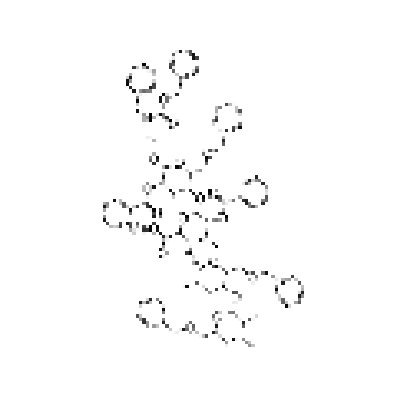 COC(=O)C1O[C@@H](O[C@@H]2C(COCc3ccccc3)O[C@@H](OCCN(Cc3ccccc3)C(=O)OCc3ccccc3)C(OC(=O)c3ccccc3)[C@H]2C)C(OC(=O)c2ccccc2)[C@@H](C)[C@@H]1O[C@H]1OC(COCc2ccccc2)[C@H](O[C@H]2OC(COCc3ccccc3)[C@@H](C)[C@H](C)C2C)[C@H](C)C1C